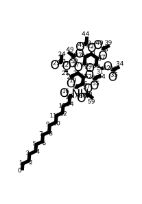 CCCCCCCCCCCCCCCC(=O)NC1O[C@H](COC(C)=O)[C@@H](O[C@@H]2O[C@H](COC(C)=O)[C@@H](OC(C)=O)[C@H](OC(C)=O)[C@@H]2OC(C)=O)[C@H](OC(C)=O)[C@@H]1OC(C)=O